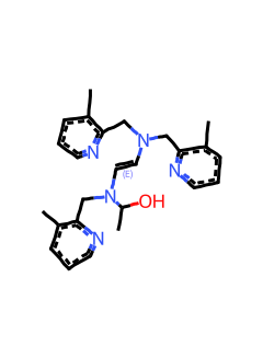 Cc1cccnc1CN(/C=C/N(Cc1ncccc1C)C(C)O)Cc1ncccc1C